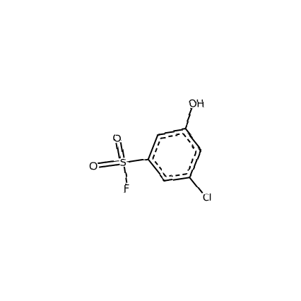 O=S(=O)(F)c1cc(O)cc(Cl)c1